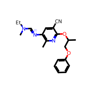 CCN(C)/C=N/c1cc(C#N)c(OC(C)COc2ccccc2)nc1C